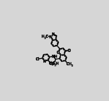 Cc1cc(C(C)Nc2ccc(Cl)nc2C(=O)O)c2oc(-c3ccc4c(cnn4C)c3)cc(=O)c2c1